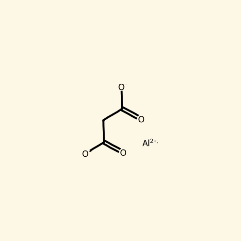 O=C([O-])CC(=O)[O-].[Al+2]